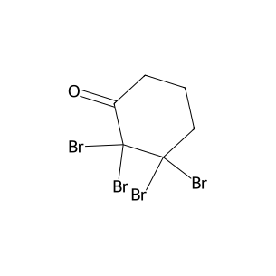 O=C1CCCC(Br)(Br)C1(Br)Br